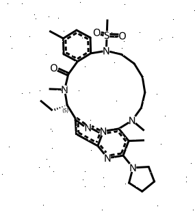 CC[C@H]1c2cc3nc(N4CCCC4)c(C)c(n3n2)N(C)CCCCCN(S(C)(=O)=O)c2ccc(C)cc2C(=O)N1C